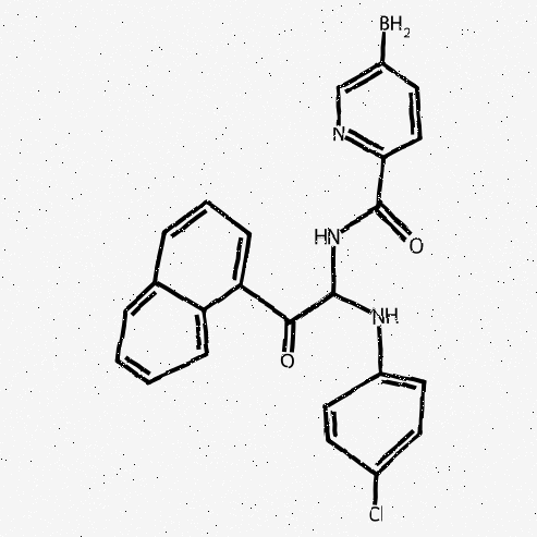 Bc1ccc(C(=O)NC(Nc2ccc(Cl)cc2)C(=O)c2cccc3ccccc23)nc1